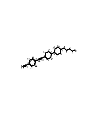 CCCCCC1CCC(C2CCC(C#Cc3ccc(C#N)cc3)CC2)CC1